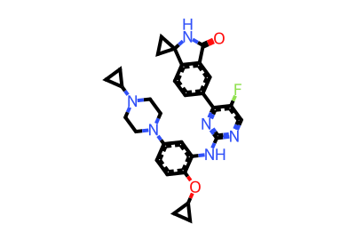 O=C1NC2(CC2)c2ccc(-c3nc(Nc4cc(N5CCN(C6CC6)CC5)ccc4OC4CC4)ncc3F)cc21